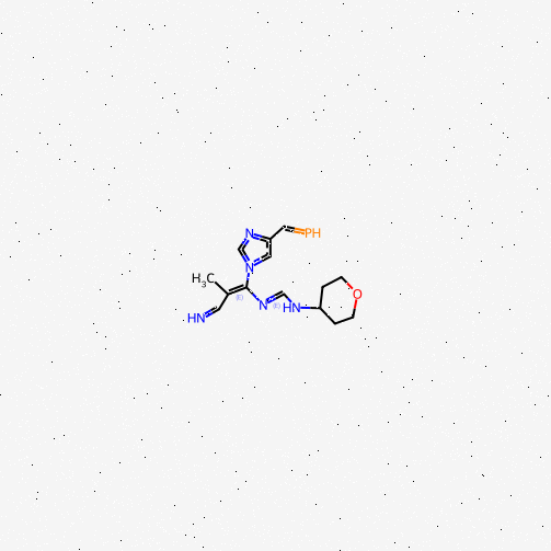 C/C(C=N)=C(/N=C/NC1CCOCC1)n1cnc(C=P)c1